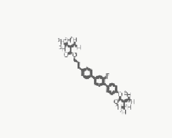 [2H]C([2H])=C(C(=O)OCCCc1ccc(-c2ccc(-c3ccc(OC(=O)C(=C([2H])[2H])C([2H])([2H])[2H])cc3)c(F)c2)cc1)C([2H])([2H])[2H]